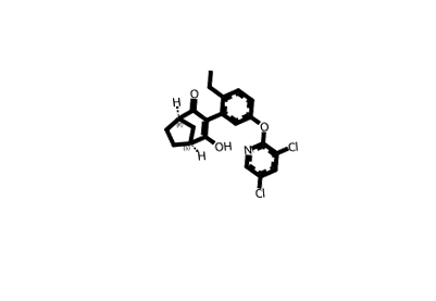 CCc1ccc(Oc2ncc(Cl)cc2Cl)cc1C1=C(O)[C@H]2CC[C@H](C2)C1=O